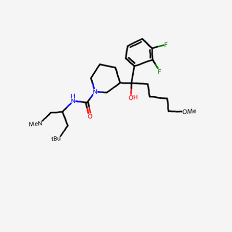 CNCC(CC(C)(C)C)NC(=O)N1CCCC(C(O)(CCCCOC)c2cccc(F)c2F)C1